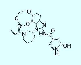 C=CC(=O)N1CCCC[C@@H](n2c(NC(=O)C3=CC(O)NC=C3)nc3ccc4c(c32)OCCOCCO4)C1